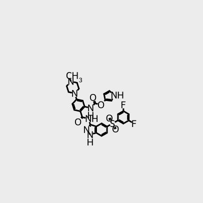 CN1CCN(c2ccc(C(=O)Nc3n[nH]c4ccc(S(=O)(=O)c5cc(F)cc(F)c5)cc34)c(NC(=O)Oc3cc[nH]c3)c2)CC1